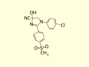 CS(=O)(=O)c1ccc(C2=NC(O)(C#N)CN2c2ccc(Cl)cc2)cc1